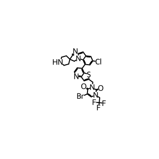 N#CC1(Cn2ccc3cc(Cl)cc(-c4ccnc5cc(Cn6c(=O)c(Br)cn(CC(F)(F)F)c6=O)sc45)c32)CCNCC1